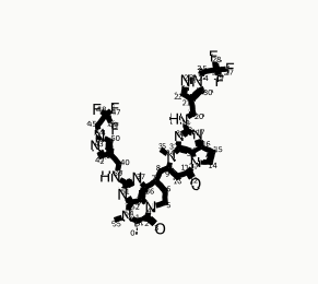 C[C@H]1C(=O)N2CCC(CC3CC(=O)n4ccc5nc(NCc6cnn(CC(F)(F)F)c6)nc(c54)N3C)c3nc(NCc4cnn(CC(F)(F)F)c4)nc(c32)N1C